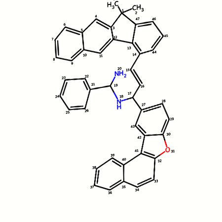 CC1(C)c2cc3ccccc3cc2-c2c(/C=C/C(NC(N)c3ccccc3)c3ccc4oc5ccc6ccccc6c5c4c3)cccc21